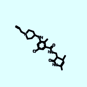 C=CCN1CCC(Nc2cc(Cl)cc(C(=O)NCC3C(=O)NC(C)=CC3C)c2C)CC1